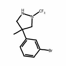 CC1(c2cccc(Br)c2)CNN(C(F)(F)F)C1